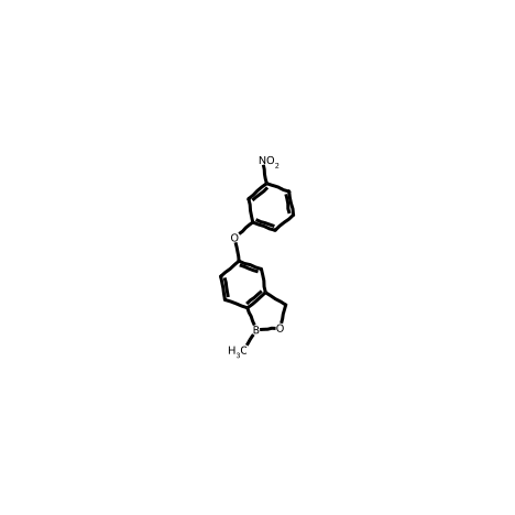 CB1OCc2cc(Oc3cccc([N+](=O)[O-])c3)ccc21